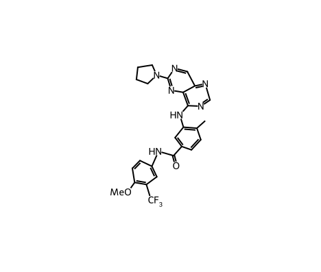 COc1ccc(NC(=O)c2ccc(C)c(Nc3ncnc4cnc(N5CCCC5)nc34)c2)cc1C(F)(F)F